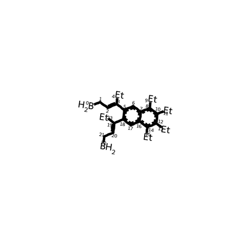 BC/C=C(\CC)c1cc2c(CC)c(CC)c(CC)c(CC)c2cc1/C(=C/CB)CC